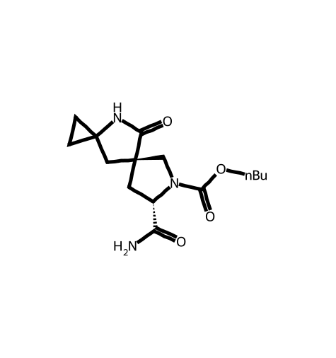 CCCCOC(=O)N1C[C@@]2(C[C@H]1C(N)=O)CC1(CC1)NC2=O